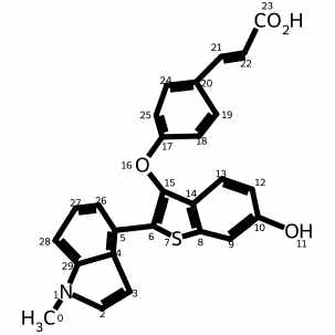 Cn1ccc2c(-c3sc4cc(O)ccc4c3Oc3ccc(C=CC(=O)O)cc3)cccc21